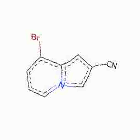 N#Cc1cc2c(Br)cccn2c1